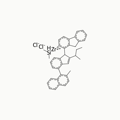 CCC(C)C1=Cc2c(-c3c(C)ccc4ccccc34)cccc2C1c1[c]([Zr+2][SiH](C)C)ccc2c1Cc1ccccc1-2.[Cl-].[Cl-]